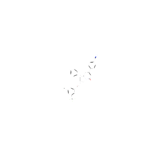 C[C@@H](O[C@H]1CN2C(=O)C=C(c3ccc(C#N)cc3)C[C@H]2[C@@H]1c1ccc(F)cc1)c1cc(C(F)(F)F)cc(C(F)(F)F)c1